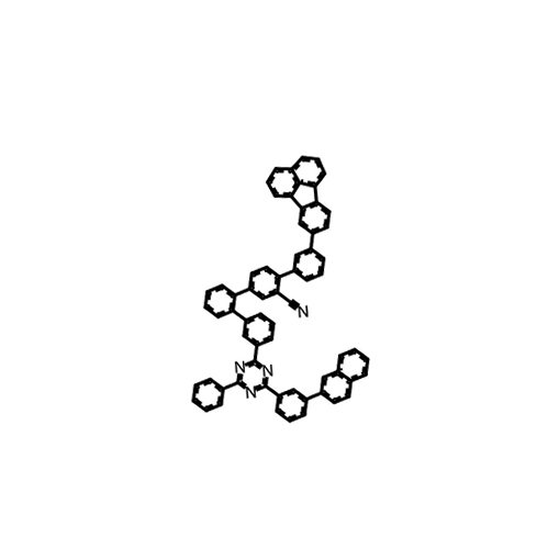 N#Cc1cc(-c2ccccc2-c2cccc(-c3nc(-c4ccccc4)nc(-c4cccc(-c5ccc6ccccc6c5)c4)n3)c2)ccc1-c1cccc(-c2ccc3c(c2)-c2cccc4cccc-3c24)c1